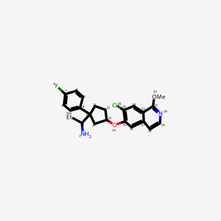 CCC(N)C1(c2ccc(F)cc2)CCC(Oc2cc3ccnc(OC)c3cc2Cl)C1